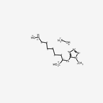 Cn1nnnc1SC(CCCCCCNO)C(=O)O.NO